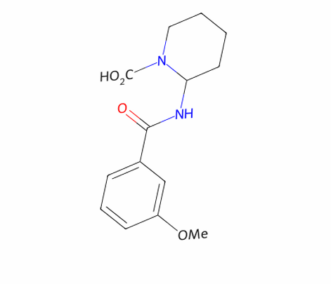 COc1cccc(C(=O)NC2CCCCN2C(=O)O)c1